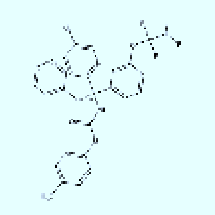 Cc1ccc(OC(=O)N[C@](Cc2ccccc2)(c2cccc(OC(F)(F)C(F)F)c2)c2ccc(Cl)cn2)cc1